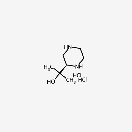 CC(C)(O)[C@H]1CNCCN1.Cl.Cl